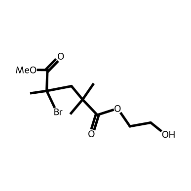 COC(=O)C(C)(Br)CC(C)(C)C(=O)OCCO